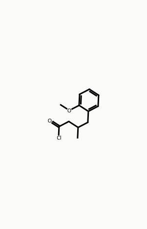 COc1ccccc1CC(C)CC(=O)Cl